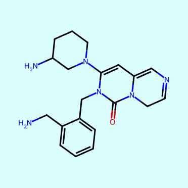 NCc1ccccc1CN1C(=O)N2CC=NC=C2C=C1N1CCCC(N)C1